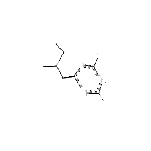 CCC(C)Cc1nc(Cl)nc(Cl)n1